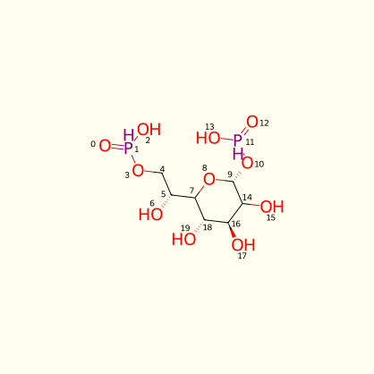 O=[PH](O)OC[C@@H](O)C1O[C@H](O[PH](=O)O)C(O)[C@@H](O)[C@@H]1O